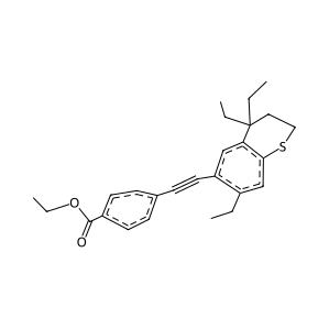 CCOC(=O)c1ccc(C#Cc2cc3c(cc2CC)SCCC3(CC)CC)cc1